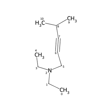 CCN(CC)CC#CC(C)C